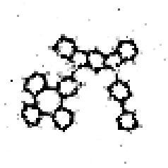 c1ccc(-c2ccc(-n3c4ccccc4c4cc5c6ccccc6n(-c6ncc7c(n6)-c6ccccc6-c6ccccc6-c6ccccc6-7)c5cc43)cc2)cc1